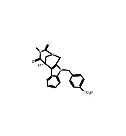 CN1C(=O)[C@H]2CN(Cc3c2c2ccccc2n3Cc2ccc(C(=O)O)cc2)C1=S